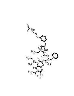 CC[C@H](C)[C@H](NC(=O)C[C@H](O)[C@H](Cc1ccccc1)NC(=O)[C@@H](NC(=O)Cc1cccc(OCCNC(=O)I)c1)[C@@H](C)CC)C(=O)N[C@H](C(=O)O)C(C)C